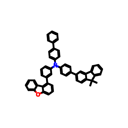 CC1(C)c2ccccc2-c2cc(-c3ccc(N(c4ccc(-c5ccccc5)cc4)c4cccc(-c5cccc6oc7ccccc7c56)c4)cc3)ccc21